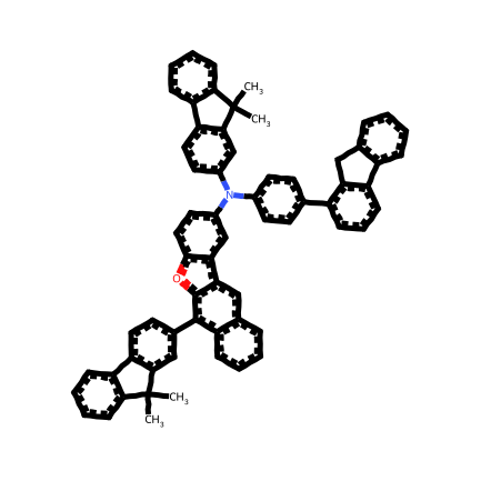 CC1(C)c2ccccc2-c2ccc(-c3c4ccccc4cc4c3oc3ccc(N(c5ccc(-c6cccc7c6Cc6ccccc6-7)cc5)c5ccc6c(c5)C(C)(C)c5ccccc5-6)cc34)cc21